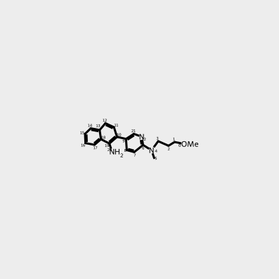 COCCCN(C)c1ccc(-c2ccc3ccccc3c2N)cn1